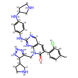 Cc1ccc(-c2cc3cnc(Nc4ccc(NC5CCNC5)cc4)nc3n(CC3=NN=NC3C3CCNC3)c2=O)c(Cl)c1